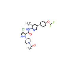 CC(=O)N1CCC(n2ncc(Cl)c2C(=O)Nc2ncc(-c3ccc(OC(F)F)cc3)cc2C)CC1